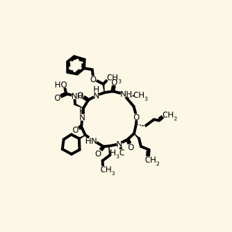 C=CCC[C@H]1OC[C@@H](C)NC(=O)[C@H](C(C)OCc2ccccc2)NC(=O)[C@H](CNC(=O)O)NC(=O)[C@H](C2CCCCC2)NC(=O)[C@H](CCC)N(C)C(=O)[C@@H]1CCC=C